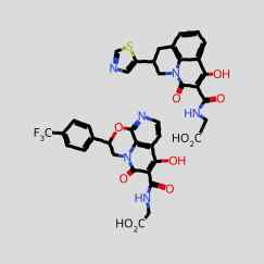 O=C(O)CNC(=O)c1c(O)c2cccc3c2n(c1=O)CC(c1cncs1)C3.O=C(O)CNC(=O)c1c(O)c2ccnc3c2n(c1=O)CC(c1ccc(C(F)(F)F)cc1)O3